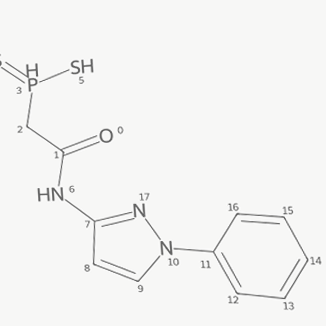 O=C(C[PH](=S)S)Nc1ccn(-c2ccccc2)n1